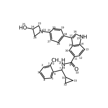 Cc1ccccc1C(NC(=O)c1ccc2[nH]cc(-c3ccc(N4CC(O)C4)cc3)c2c1)C1CC1